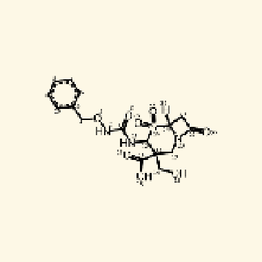 O=C(NOCc1ccccc1)NC1C(CO)(C(=O)O)CN2C(=O)C[C@H]2S1(=O)=O